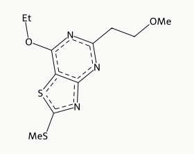 CCOc1nc(CCOC)nc2nc(SC)sc12